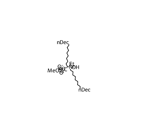 CCCCCCCCCCCCCCCCCCC(C)[N+](O)(CC)CCCCCCCCCCCCCCCCCC.COS(=O)(=O)[O-]